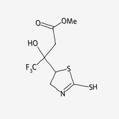 COC(=O)CC(O)(C1CN=C(S)S1)C(F)(F)F